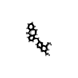 Nc1nc(N)c2cc(Cc3cccc4c3C=Cc3ccccc3N4)cnc2n1